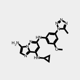 COc1cc(Nc2cc(NC3CC3)c3ncc(N)n3n2)cc(-n2nnnc2C)c1